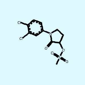 CS(=O)(=O)OC1CCN(c2ccc(Cl)c(Cl)c2)C1=O